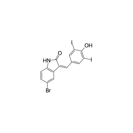 O=C1Nc2ccc(Br)cc2/C1=C/c1cc(I)c(O)c(I)c1